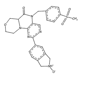 CS(=O)(=O)c1ccc(CN2C(=O)C3COCCN3c3nc(-c4ccc5c(c4)C[NH+]([O-])C5)ncc32)cc1